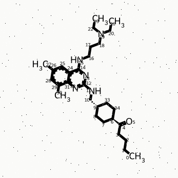 CCCCC(=O)[C@H]1CC[C@H](CNc2nc(NCCCN(CC)CC)c3cc(C)cc(C)c3n2)CC1